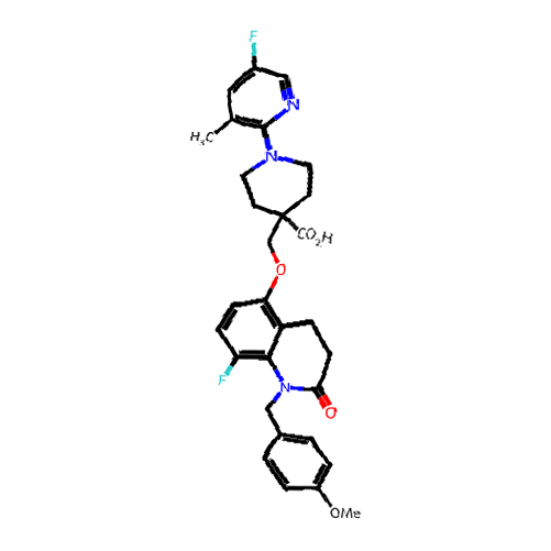 COc1ccc(CN2C(=O)CCc3c(OCC4(C(=O)O)CCN(c5ncc(F)cc5C)CC4)ccc(F)c32)cc1